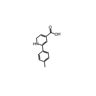 Cc1ccc(C2=CC(C(=O)O)=CCN2)cc1